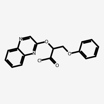 O=C(Cl)C(COc1ccccc1)Oc1cnc2ccccc2n1